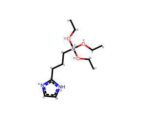 CCO[Si](CCCc1ncc[nH]1)(OCC)OCC